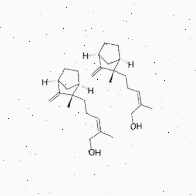 C=C1[C@H]2CC[C@H](C2)[C@]1(C)CC/C=C(/C)CO.C=C1[C@H]2CC[C@H](C2)[C@]1(C)CC/C=C(/C)CO